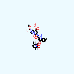 CCOC(=O)N1CCN(C(=O)C(CCC(=O)O)NC(=O)c2cc(OCC(=O)N3[C@@H]4CC[C@H]3CC(=O)C4)c3ccc(C)cc3n2)CC1